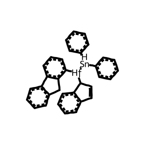 C1=C[CH]([Hf]([c]2cccc3c2Cc2ccccc2-3)[SnH]([c]2ccccc2)[c]2ccccc2)c2ccccc21